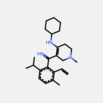 C=Cc1c(C)ccc(C(C)C)c1C(=N)C1=C(NC2CCCCC2)CCN(C)C1